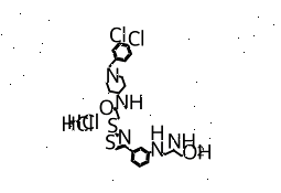 Cl.Cl.N[C@H](CO)CNc1cccc(-c2csc(SCC(=O)NC3CCN(Cc4ccc(Cl)c(Cl)c4)CC3)n2)c1